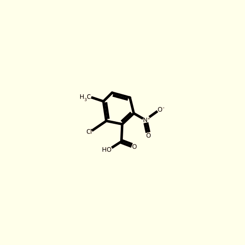 Cc1ccc([N+](=O)[O-])c(C(=O)O)c1Cl